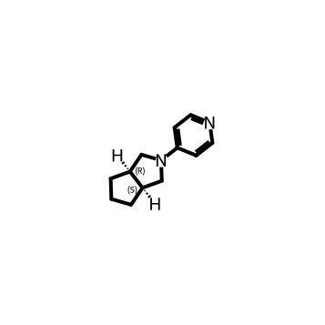 c1cc(N2C[C@H]3CCC[C@H]3C2)ccn1